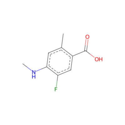 CNc1cc(C)c(C(=O)O)cc1F